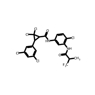 CC(C(=O)Nc1cc(NC(=O)C2C(c3cc(Cl)cc(Cl)c3)C2(Cl)Cl)ccc1Cl)C(F)(F)F